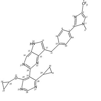 Cn1cc(C(F)(F)F)nc1-c1ccc(Cc2c[nH]c3cnc(-c4c(OC5CC5)ncnc4C4CC4)nc23)cc1